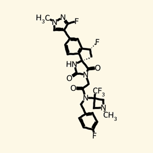 CN1CC(N(Cc2ccc(F)cc2)C(=O)CN2C(=O)N[C@]3(C[C@@H](F)c4cc(-c5cn(C)nc5F)ccc43)C2=O)(C(F)(F)F)C1